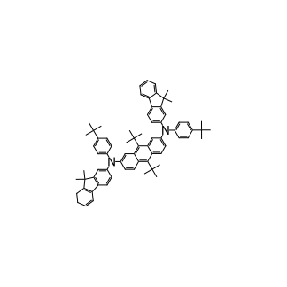 CC(C)(C)c1ccc(N(c2ccc3c(c2)C(C)(C)C2=C3C=CCC2)c2ccc3c(C(C)(C)C)c4ccc(N(c5ccc(C(C)(C)C)cc5)c5ccc6c(c5)C(C)(C)c5ccccc5-6)cc4c(C(C)(C)C)c3c2)cc1